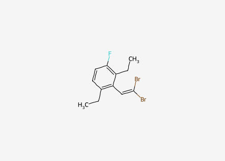 CCc1ccc(F)c(CC)c1C=C(Br)Br